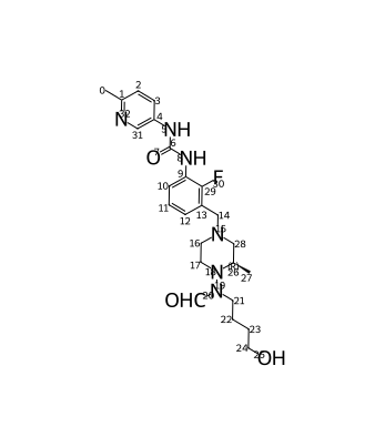 Cc1ccc(NC(=O)Nc2cccc(CN3CCN(N(C=O)CCCCO)[C@H](C)C3)c2F)cn1